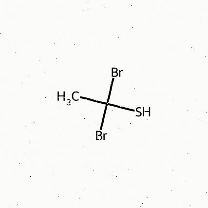 CC(S)(Br)Br